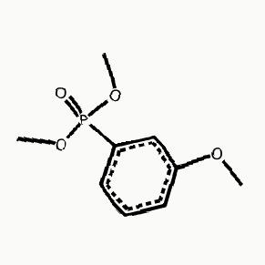 COc1cccc(P(=O)(OC)OC)c1